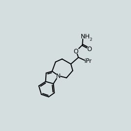 CC(C)C(OC(N)=O)C1CCc2cc3ccccc3n2CC1